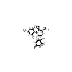 Cc1cc(Br)cc(C)c1N1C[C@@H](Cc2ccc(F)cc2F)C[C@@H](C)C1=O